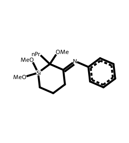 CCCC1(OC)C(=Nc2ccccc2)CCC[Si]1(OC)OC